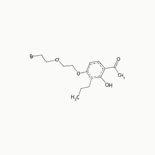 CCCc1c(OCCOCCBr)ccc(C(C)=O)c1O